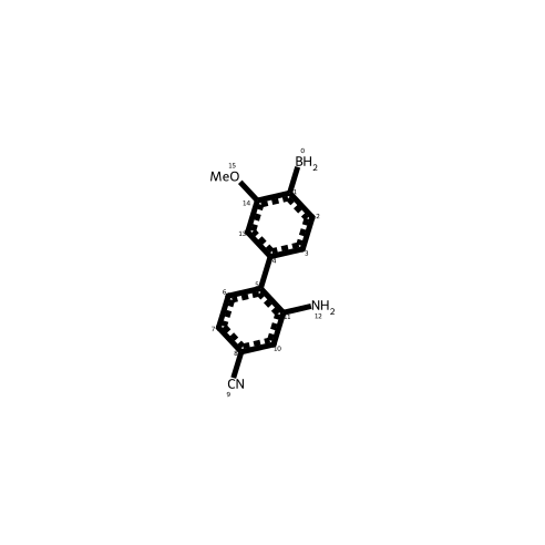 Bc1ccc(-c2ccc(C#N)cc2N)cc1OC